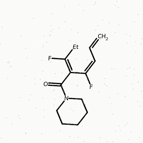 C=C/C=C(F)\C(C(=O)N1CCCCC1)=C(\F)CC